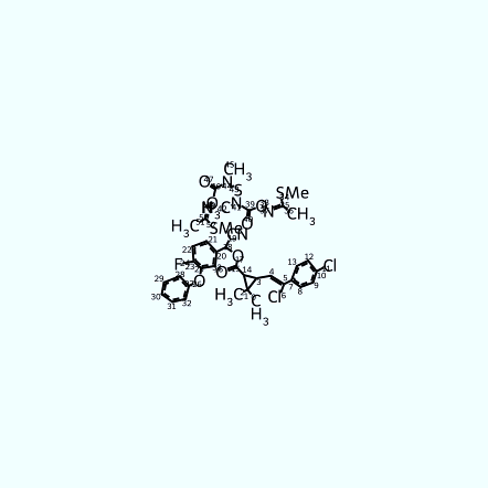 CC1(C)C(/C=C(\Cl)c2ccc(Cl)cc2)C1C(=O)OC(C#N)c1ccc(F)c(Oc2ccccc2)c1.CS/C(C)=N\OC(=O)N(C)SN(C)C(=O)O/N=C(/C)SC